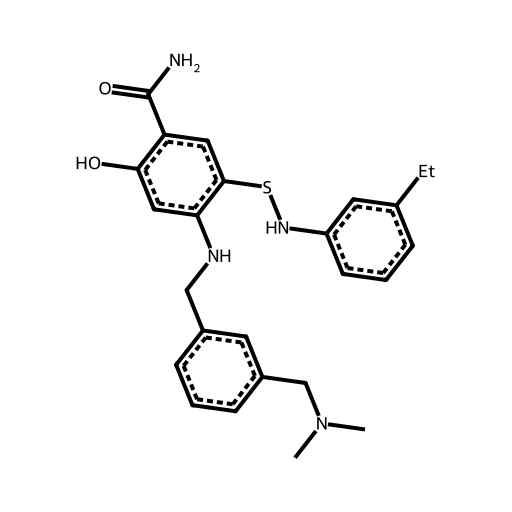 CCc1cccc(NSc2cc(C(N)=O)c(O)cc2NCc2cccc(CN(C)C)c2)c1